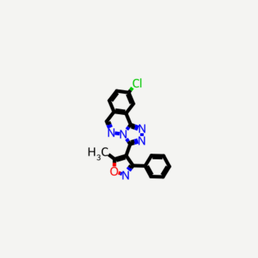 Cc1onc(-c2ccccc2)c1-c1nnc2c3cc(Cl)ccc3cnn12